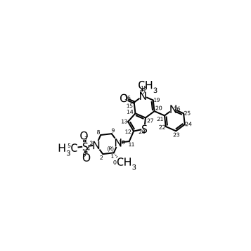 C[C@@H]1CN(S(C)(=O)=O)CCN1Cc1cc2c(=O)n(C)cc(-c3ccccn3)c2s1